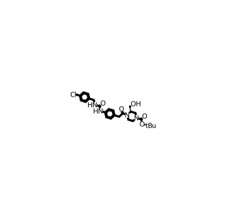 CC(C)(C)OC(=O)N1CCN(C(=O)Cc2ccc(NC(=O)NCc3ccc(Cl)cc3)cc2)[C@@H](CO)C1